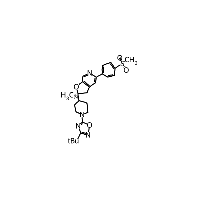 CC(C)(C)c1noc(N2CCC([C@]3(C)Cc4cc(-c5ccc(S(C)(=O)=O)cc5)ncc4O3)CC2)n1